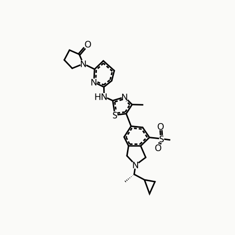 Cc1nc(Nc2cccc(N3CCCC3=O)n2)sc1-c1cc2c(c(S(C)(=O)=O)c1)CN([C@@H](C)C1CC1)C2